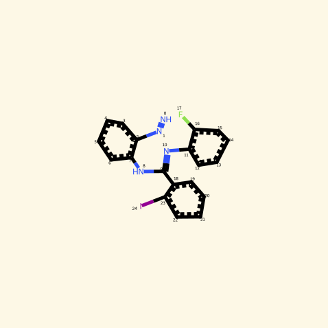 N=Nc1ccccc1N/C(=N/c1ccccc1F)c1ccccc1I